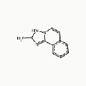 PC1N=C2c3ccccc3C=CN2N1